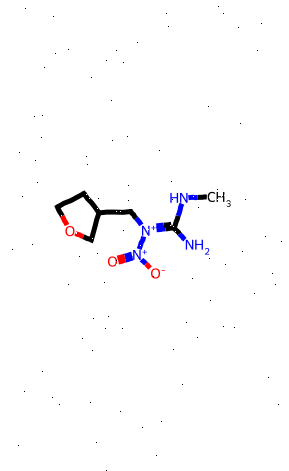 CNC(N)=[N+](CC1CCOC1)[N+](=O)[O-]